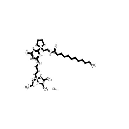 CCCCCCCCCCCC(=O)OCC[N+]1(c2nc(Cl)nc(NCCC[Si](OCC)(OCC)OCC)n2)CCCC1.[Cl-]